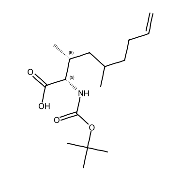 C=CCCC(C)C[C@@H](C)[C@H](NC(=O)OC(C)(C)C)C(=O)O